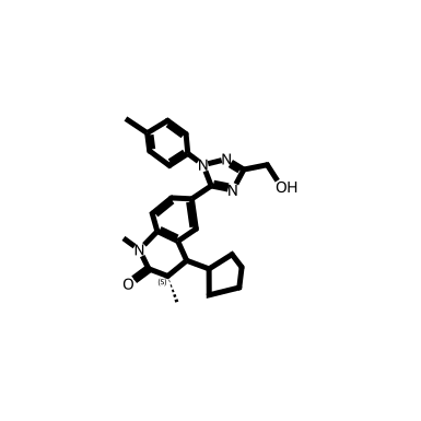 Cc1ccc(-n2nc(CO)nc2-c2ccc3c(c2)C(C2CCCC2)[C@H](C)C(=O)N3C)cc1